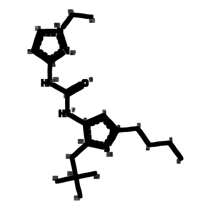 CCCCc1cc(NC(=O)Nc2ccn(CC)n2)c(CC(C)(C)C)s1